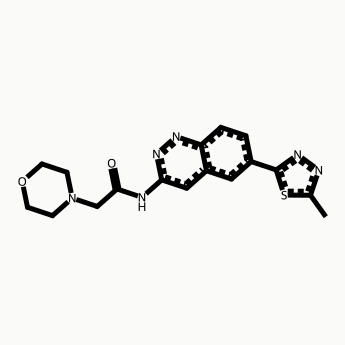 Cc1nnc(-c2ccc3nnc(NC(=O)CN4CCOCC4)cc3c2)s1